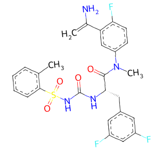 C=C(N)c1cc(N(C)C(=O)[C@H](Cc2cc(F)cc(F)c2)NC(=O)NS(=O)(=O)c2ccccc2C)ccc1F